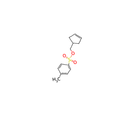 Cc1ccc(S(=O)(=O)OCC2CC=CC2)cc1